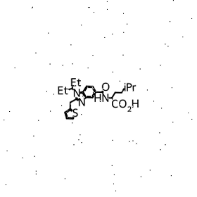 CCC(CC)n1c(Cc2cccs2)nc2cc(C(=O)N[C@@H](CCC(C)C)C(=O)O)ccc21